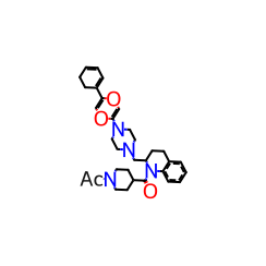 CC(=O)N1CCC(C(=O)N2c3ccccc3CCC2CN2CCN(C3=COC(C4=CC=CCC4)=CO3)CC2)CC1